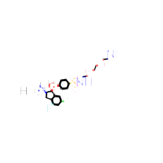 CN(C)[C@H]1Cc2c(F)cc(Cl)cc2[C@@H]1Oc1ccc(S(=O)(=O)NCCOCCOCCN)cc1